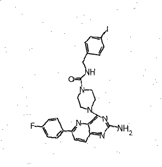 Nc1nc(N2CCN(C(=O)NCc3ccc(I)cc3)CC2)c2nc(-c3ccc(F)cc3)ccc2n1